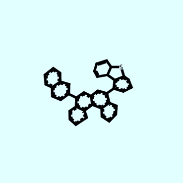 C1=CC2Sc3cccc(-c4cc5cc(-c6ccc7ccccc7c6)c6ccccc6c5c5ccccc45)c3C2C=C1